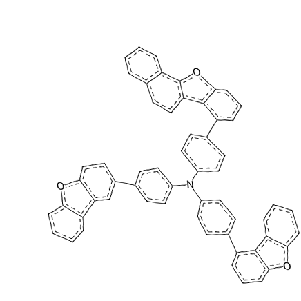 c1ccc2c(c1)ccc1c2oc2cccc(-c3ccc(N(c4ccc(-c5ccc6oc7ccccc7c6c5)cc4)c4ccc(-c5cccc6oc7ccccc7c56)cc4)cc3)c21